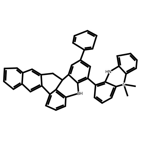 CS1(C)c2ccccc2Nc2c(-c3cc(-c4ccccc4)cc4c3Bc3cccc5c3C4Cc3cc4ccccc4cc3-5)cccc21